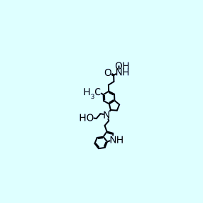 Cc1cc2c(cc1CCC(=O)NO)CCC2N(CCO)CCc1c[nH]c2ccccc12